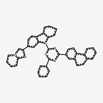 c1ccc(-c2nc(-c3ccc4c(ccc5ccccc54)c3)nc(-n3c4ccccc4c4ccc(-c5cn6ccccc6n5)cc43)n2)cc1